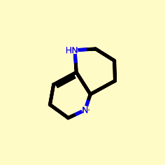 C1=C2NCCCC2[N]CC1